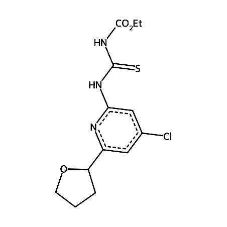 CCOC(=O)NC(=S)Nc1cc(Cl)cc(C2CCCO2)n1